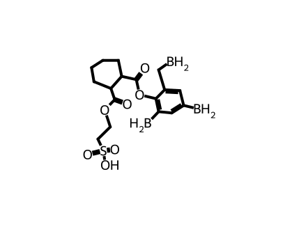 BCc1cc(B)cc(B)c1OC(=O)C1CCCCC1C(=O)OCCS(=O)(=O)O